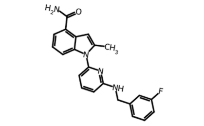 Cc1cc2c(C(N)=O)cccc2n1-c1cccc(NCc2cccc(F)c2)n1